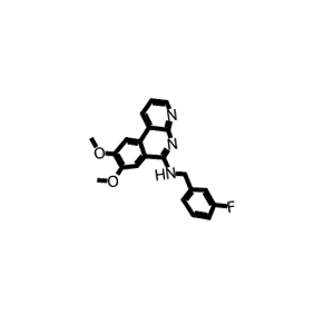 COc1cc2c(NCc3cccc(F)c3)nc3ncccc3c2cc1OC